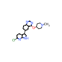 CN1CCC(Oc2ncnc3ccc(-c4c[nH]c5nc(Cl)ccc45)cc23)CC1